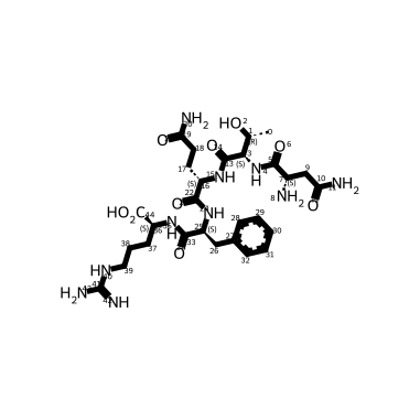 C[C@@H](O)[C@H](NC(=O)[C@@H](N)CC(N)=O)C(=O)N[C@@H](CCC(N)=O)C(=O)N[C@@H](Cc1ccccc1)C(=O)N[C@@H](CCCNC(=N)N)C(=O)O